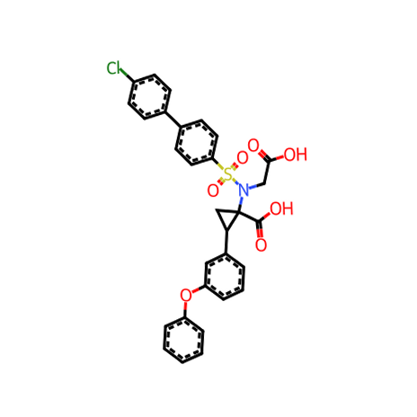 O=C(O)CN(C1(C(=O)O)CC1c1cccc(Oc2ccccc2)c1)S(=O)(=O)c1ccc(-c2ccc(Cl)cc2)cc1